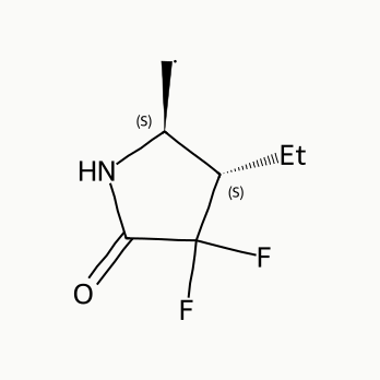 [CH2][C@@H]1NC(=O)C(F)(F)[C@H]1CC